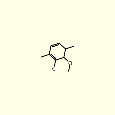 COC1C(Cl)=C(C)C=CC1C